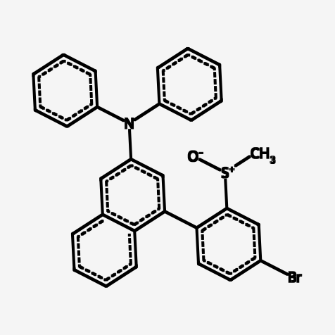 C[S+]([O-])c1cc(Br)ccc1-c1cc(N(c2ccccc2)c2ccccc2)cc2ccccc12